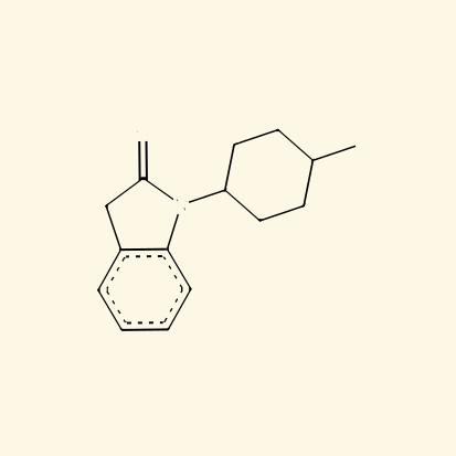 CC1CCC(N2C(=O)Cc3ccccc32)CC1